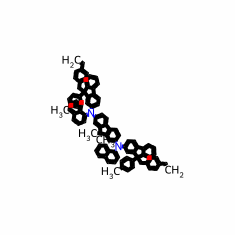 C=Cc1ccc(CC2(c3ccc(C)cc3)c3ccccc3-c3ccc(N(c4ccc5c(c4)C(C)(C)c4cc(N(c6ccc7c(c6)C(Cc6ccc(C=C)cc6)(c6ccc(C)cc6)c6ccccc6-7)c6cccc7ccccc67)ccc4-5)c4cccc5ccccc45)cc32)cc1